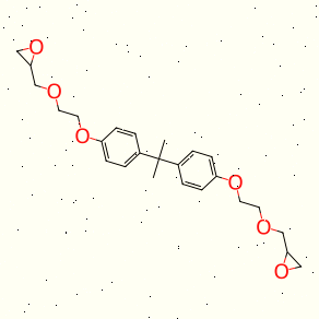 CC(C)(c1ccc(OCCOCC2CO2)cc1)c1ccc(OCCOCC2CO2)cc1